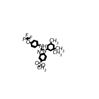 CC1CC(n2c(Nc3ccc(OC(F)(F)F)cc3)nc3cc(S(C)(=O)=O)ccc32)CC(C)(C)C1